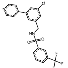 O=S(=O)(NCc1cc(Cl)cc(-c2ccncc2)c1)c1cccc(C(F)(F)F)c1